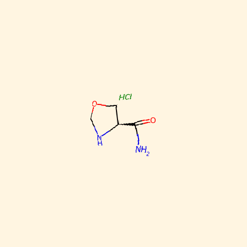 Cl.NC(=O)[C@@H]1COCN1